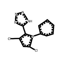 Clc1cc(Cl)n(-c2cc[c]cc2)c1-c1nnn[nH]1